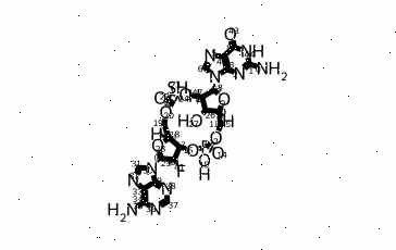 Nc1nc2c(ncn2[C@@H]2O[C@@H]3COP(=O)(O)OC4[C@@H](CO[P@](=O)(S)O[C@H]2C3O)O[C@@H](n2cnc3c(N)ncnc32)[C@H]4F)c(=O)[nH]1